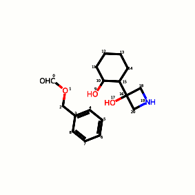 O=COCc1ccccc1.OC1CCCCC1C1(O)CNC1